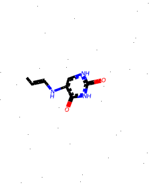 C/C=C/Nc1c[nH]c(=O)[nH]c1=O